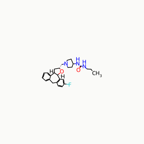 CCCNC(=O)NC1CCN(C[C@H]2C[C@@H]3c4ccccc4Cc4ccc(F)cc4[C@@H]3O2)CC1